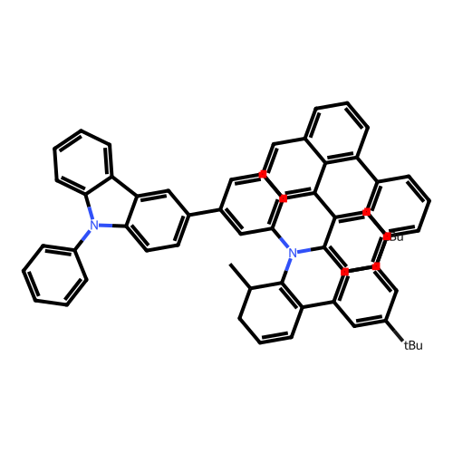 CC1CC=CC(c2cc(C(C)(C)C)cc(C(C)(C)C)c2)=C1N(c1cccc(-c2ccc3c(c2)c2ccccc2n3-c2ccccc2)c1)c1ccccc1-c1cccc2cccc(-c3ccccc3)c12